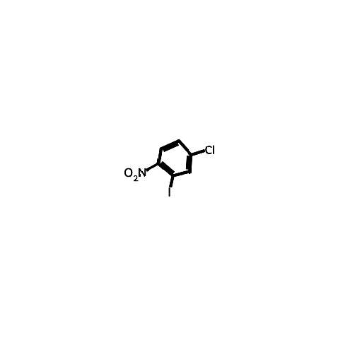 O=[N+]([O-])c1ccc(Cl)cc1I